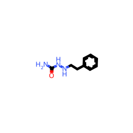 NC(=O)NNCCc1ccccc1